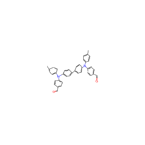 Cc1ccc(N(c2ccc(C=O)cc2)c2ccc(-c3ccc(N(c4ccc(C)cc4)c4ccc(C=O)cc4)cc3)cc2)cc1